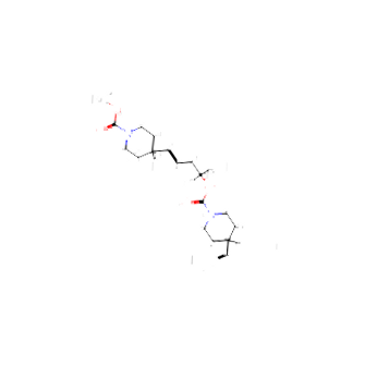 C=CC1(C(=O)OCC)CCN(C(=O)OC(C)(C)C/C=C/C2(C(=O)O)CCN(C(=O)OC(C)(C)C)CC2)CC1